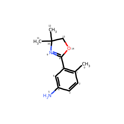 Cc1ccc(N)cc1C1=NC(C)(C)CO1